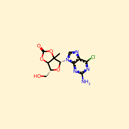 CC12OC(=O)OC1[C@@H](CO)O[C@H]2n1cnc2c(Cl)nc(N)nc21